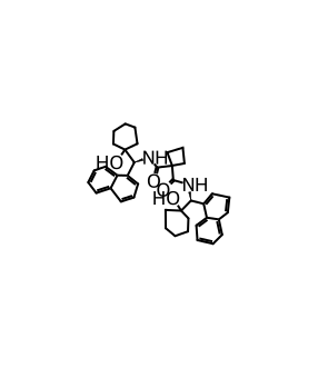 O=C(N[C@@H](c1cccc2ccccc12)C1(O)CCCCC1)C1(C(=O)N[C@@H](c2cccc3ccccc23)C2(O)CCCCC2)CCC1